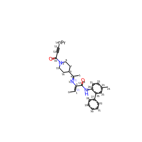 C/C=C(\N=C(/C)C1CCN(C(=O)C#CCCC)CC1)C(=O)Nc1ccc(C)cc1-c1ccccc1